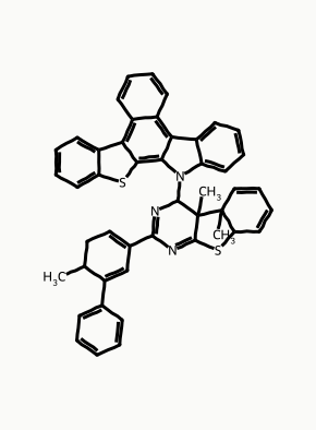 CC1CC=C(C2=NC(n3c4ccccc4c4c5ccccc5c5c6ccccc6sc5c43)C3(C)C(=N2)SC2C=CC=CC23C)C=C1c1ccccc1